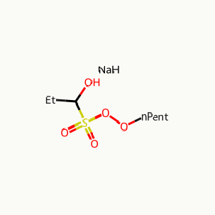 CCCCCOOS(=O)(=O)C(O)CC.[NaH]